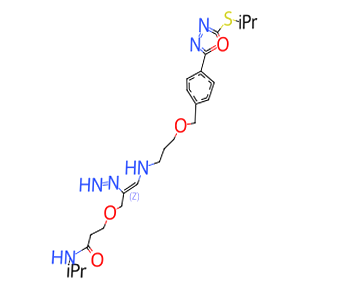 CC(C)NC(=O)CCOC/C(=C/NCCCOCc1ccc(-c2nnc(SC(C)C)o2)cc1)N=N